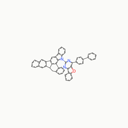 c1ccc(-c2ccc(-c3nc(-n4c5ccccc5c5cc6c7c(c54)-c4ccccc4CC7c4cc5ccccc5cc4-6)nc4c3oc3ccccc34)cc2)cc1